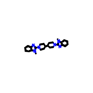 Cn1c(N2C=CC(=C3C=CN(c4nc5ccccc5n4C)C=C3)C=C2)nc2ccccc21